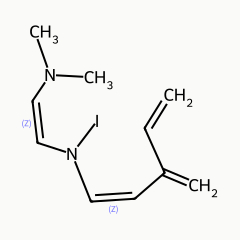 C=CC(=C)/C=C\N(I)/C=C\N(C)C